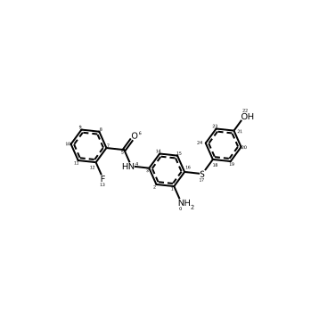 Nc1cc(NC(=O)c2ccccc2F)ccc1Sc1ccc(O)cc1